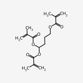 C=C(C)C(=O)OCCCC(OC(=O)C(=C)C)OC(=O)C(=C)C